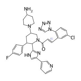 NC1CCN(C2CC(c3ccc(F)cc3)C(c3nc(-c4cccnc4)c[nH]3)N(C(=O)/C=C/c3cc(Cl)ccc3-n3cnnn3)C2)CC1